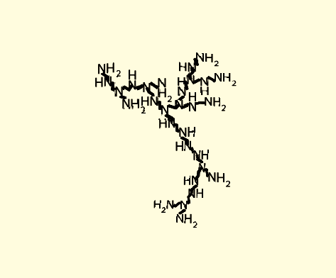 NCCNCCN(CCN)CCNCCN(CCN)CCNCCN(CCNCCNCCNCCNCCN(CCN)CCNCCNCCN(CCN)CCN)CCN(CCNCCN)CCNCCN(CCNCCN)CCNCCN